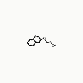 IOCCOc1ccc2ccccc2c1